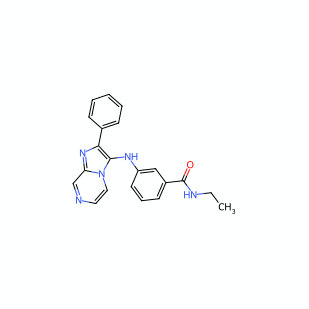 CCNC(=O)c1cccc(Nc2c(-c3ccccc3)nc3cnccn23)c1